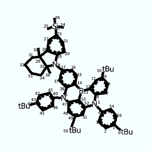 CC(C)(C)c1ccc(N2c3ccc(C(C)(C)C)cc3B3c4ccc(N5c6ccc([Si](C)(C)C)cc6C6(C)CCCCC56C)cc4N(c4ccc(C(C)(C)C)cc4)c4cc(C(C)(C)C)cc2c43)cc1